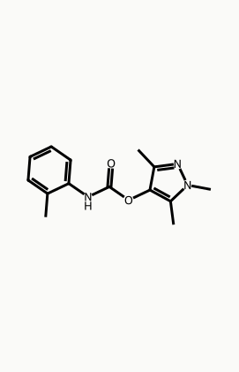 Cc1ccccc1NC(=O)Oc1c(C)nn(C)c1C